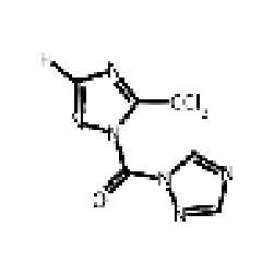 O=C(n1cncn1)n1nc(F)nc1C(Cl)(Cl)Cl